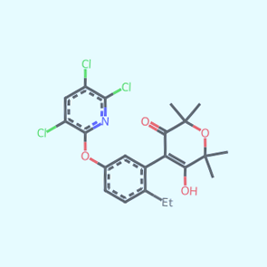 CCc1ccc(Oc2nc(Cl)c(Cl)cc2Cl)cc1C1=C(O)C(C)(C)OC(C)(C)C1=O